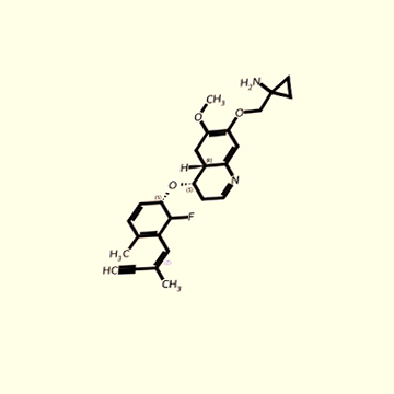 C#C/C(C)=C\C1=C(C)C=C[C@H](O[C@H]2CC=NC3=CC(OCC4(N)CC4)=C(OC)C[C@H]32)C1F